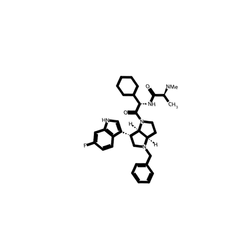 CN[C@@H](C)C(=O)N[C@H](C(=O)N1CC[C@@H]2[C@H]1[C@@H](c1c[nH]c3cc(F)ccc13)CN2Cc1ccccc1)C1CCCCC1